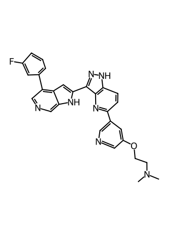 CN(C)CCOc1cncc(-c2ccc3[nH]nc(-c4cc5c(-c6cccc(F)c6)cncc5[nH]4)c3n2)c1